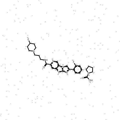 O=C(NCCCN1CCC(F)CC1)c1cc2sc3nc(-c4ccc([C@@H]5CCCN5C(=O)O)cc4F)cn3c2cn1